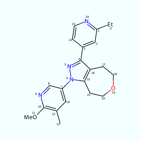 CCc1cc(-c2nn(-c3cnc(OC)c(C)c3)c3c2CCOCC3)ccn1